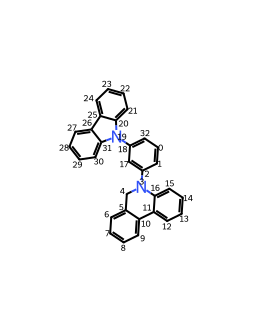 c1cc(N2Cc3ccccc3-c3ccccc32)cc(-n2c3ccccc3c3ccccc32)c1